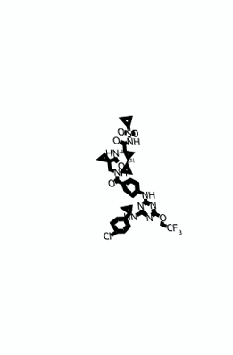 O=C(NCC1(C(=O)N[C@]2(C(=O)NS(=O)(=O)C3CC3)C[C@H]2C2CC2)CC1)c1ccc(Nc2nc(NC3(c4ccc(Cl)cc4)CC3)nc(OCC(F)(F)F)n2)cc1